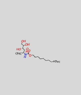 CCCCCCCCCCCCCCCCCCOC(=O)N[C@@H](C=O)[C@@H](O)[C@H](O)[C@H](O)CO